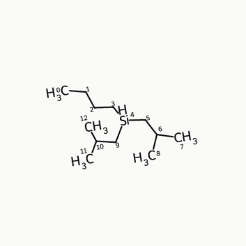 CCCC[SiH](CC(C)C)CC(C)C